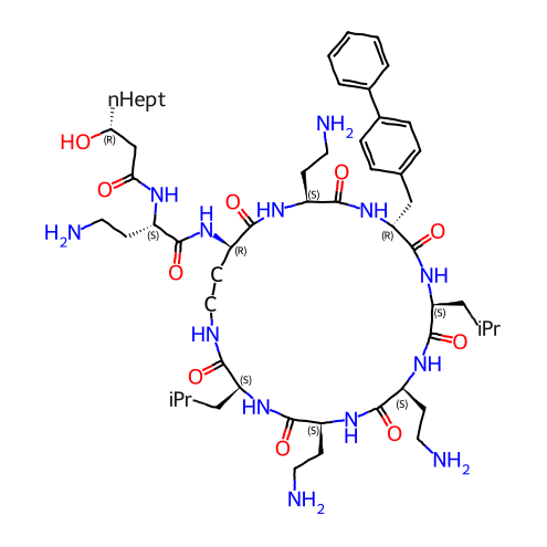 CCCCCCC[C@@H](O)CC(=O)N[C@@H](CCN)C(=O)N[C@@H]1CCNC(=O)[C@H](CC(C)C)NC(=O)[C@H](CCN)NC(=O)[C@H](CCN)NC(=O)[C@H](CC(C)C)NC(=O)[C@@H](Cc2ccc(-c3ccccc3)cc2)NC(=O)[C@H](CCN)NC1=O